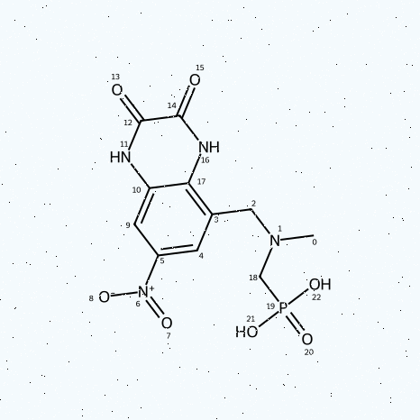 CN(Cc1cc([N+](=O)[O-])cc2[nH]c(=O)c(=O)[nH]c12)CP(=O)(O)O